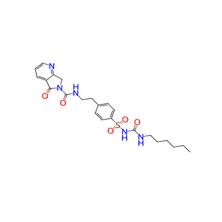 CCCCCCNC(=O)NS(=O)(=O)c1ccc(CCNC(=O)N2Cc3ncccc3C2=O)cc1